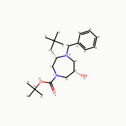 CC(C)(C)C[C@H]1CN(C(=O)OC(C)(C)C)C[C@@H](O)CN1Cc1ccccc1